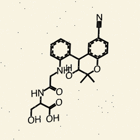 CC1(C)Oc2ccc(C#N)cc2C(c2ccccc2NCC(=O)NC(CO)C(=O)O)C1O